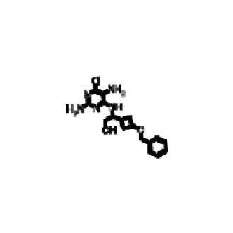 Nc1nc(Cl)c(N)c(NC(CO)C2CC(OCc3ccccc3)C2)n1